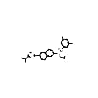 CC(C)c1nc(-c2ccc3cc(N(CC(=O)O)S(=O)(=O)c4cc(Cl)cc(Cl)c4)ccc3c2)no1